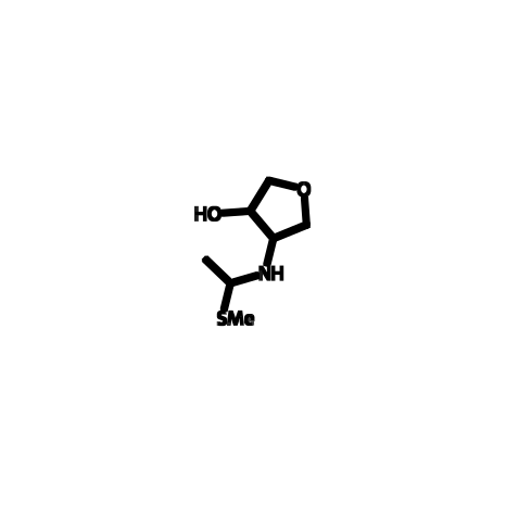 CSC(C)NC1COCC1O